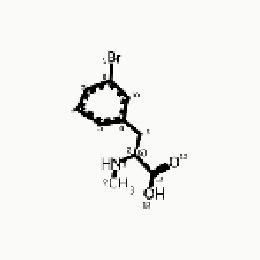 CN[C@@H](Cc1cccc(Br)c1)C(=O)O